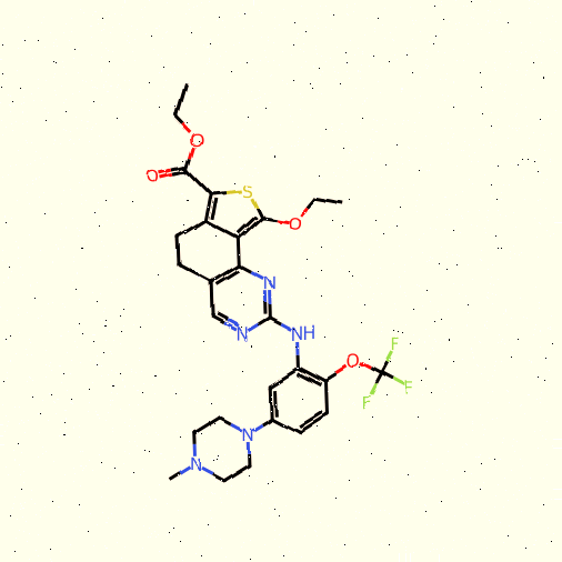 CCOC(=O)c1sc(OCC)c2c1CCc1cnc(Nc3cc(N4CCN(C)CC4)ccc3OC(F)(F)F)nc1-2